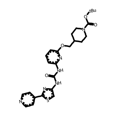 CC(C)(C)OC(=O)N1CCC(COc2cccc(NC(=O)Nc3csc(-c4ccncc4)n3)n2)CC1